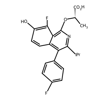 CC(C)c1nc(O[C@@H](C)C(=O)O)c2c(F)c(O)ccc2c1-c1ccc(F)cc1